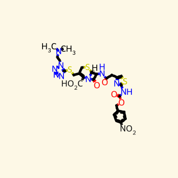 CN(C)CCn1nnnc1SCC1=C(C(=O)O)N2C(=O)C(NC(=O)Cc3csc(NC(=O)OCc4ccc([N+](=O)[O-])cc4)n3)[C@@H]2SC1